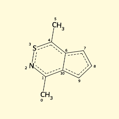 Cc1nsc(C)c2cccc1-2